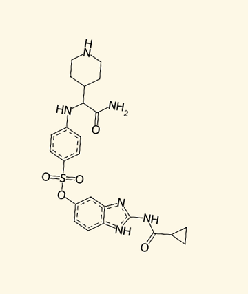 NC(=O)C(Nc1ccc(S(=O)(=O)Oc2ccc3[nH]c(NC(=O)C4CC4)nc3c2)cc1)C1CCNCC1